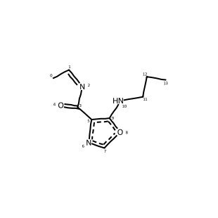 C/C=N\C(=O)c1ncoc1NCCC